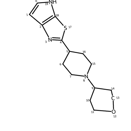 c1cc2nc(C3CCN(C4CCOCC4)CC3)sc2[nH]1